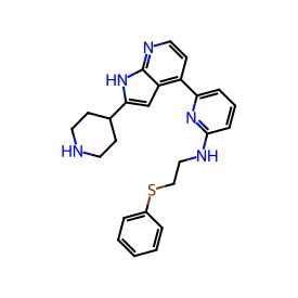 c1ccc(SCCNc2cccc(-c3ccnc4[nH]c(C5CCNCC5)cc34)n2)cc1